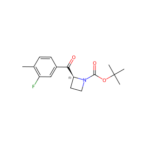 Cc1ccc(C(=O)[C@@H]2CCN2C(=O)OC(C)(C)C)cc1F